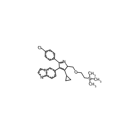 C[Si](C)(C)CCOCC1N=C(c2ccc(Cl)cc2)C(c2ccc3nccn3c2)=C1C1CC1